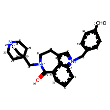 O=Cc1ccc(Cn2cc3c4c(cccc42)C(=O)N(CC24CCN(CC2)CC4)CC3)cc1